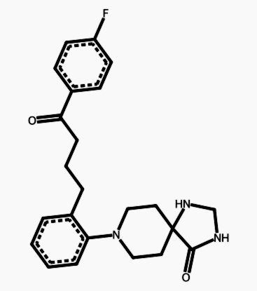 O=C(CCCc1ccccc1N1CCC2(CC1)NCNC2=O)c1ccc(F)cc1